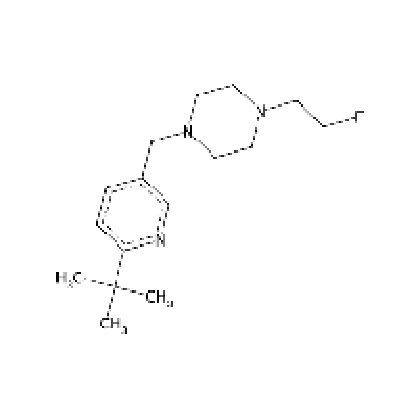 CC(C)(C)c1ccc(CN2CCN(CCF)CC2)cn1